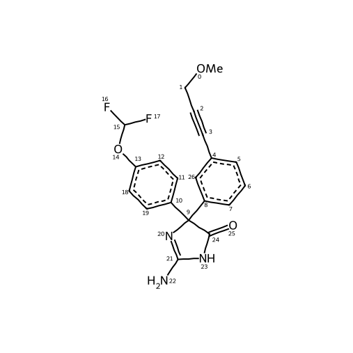 COCC#Cc1cccc(C2(c3ccc(OC(F)F)cc3)N=C(N)NC2=O)c1